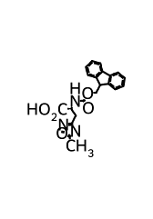 Cc1nc(C[C@H](NC(=O)OCC2c3ccccc3-c3ccccc32)C(=O)O)no1